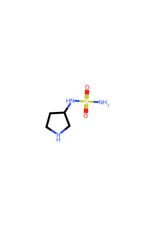 NS(=O)(=O)NC1CCNC1